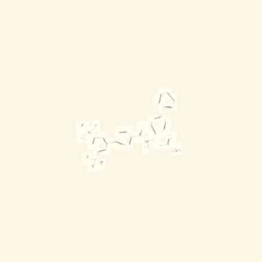 O=C(O)CC(NC(=O)c1ccc(-c2cc(C(F)(F)F)cc(C(F)(F)F)c2)cc1)c1ccc(-c2ccccc2)cc1